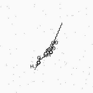 CCCCCCCCCCCCCC(=O)OCOC(=O)N1CCN2c3c(cccc31)[C@@H]1CN(CCCC(=O)c3ccc(P)cc3)CC[C@@]12C